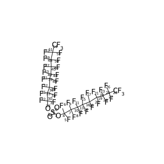 O=S(=O)(OC(F)(F)C(F)(F)C(F)(F)C(F)(F)C(F)(F)C(F)(F)C(F)(F)C(F)(F)C(F)(F)F)OC(F)(F)C(F)(F)C(F)(F)C(F)(F)C(F)(F)C(F)(F)C(F)(F)C(F)(F)C(F)(F)F